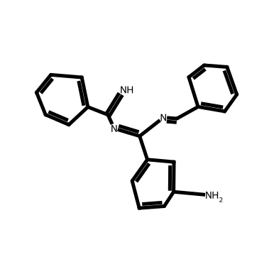 N=C(/N=C(\N=C\c1ccccc1)c1cccc(N)c1)c1ccccc1